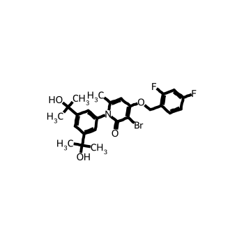 Cc1cc(OCc2ccc(F)cc2F)c(Br)c(=O)n1-c1cc(C(C)(C)O)cc(C(C)(C)O)c1